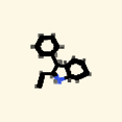 C=CC1=Nc2ccccc2C1c1ccccc1